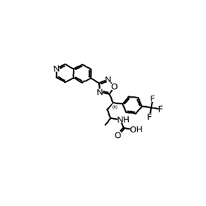 CC(C[C@H](c1ccc(C(F)(F)F)cc1)c1nc(-c2ccc3cnccc3c2)no1)NC(=O)O